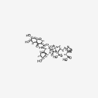 CO[C@@]1(NC(=O)C(NC(=O)c2coc3cc(O)c(O)cc3c2=O)c2ccc(O)cc2)C(=O)N2C(C(=O)O)=C(CSc3nnnn3CC(=O)O)CS[C@H]21